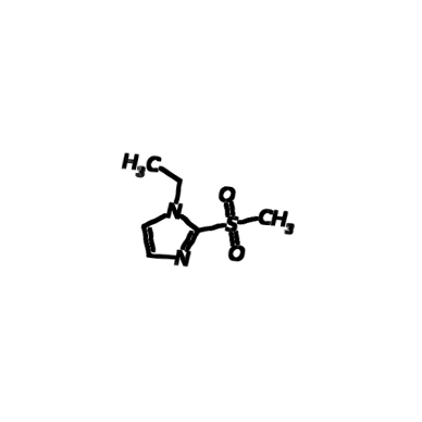 CCn1ccnc1S(C)(=O)=O